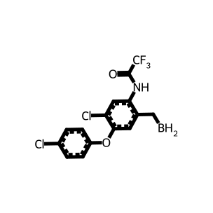 BCc1cc(Oc2ccc(Cl)cc2)c(Cl)cc1NC(=O)C(F)(F)F